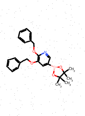 CC1(C)OB(c2cnc(OCc3ccccc3)c(OCc3ccccc3)c2)OC1(C)C